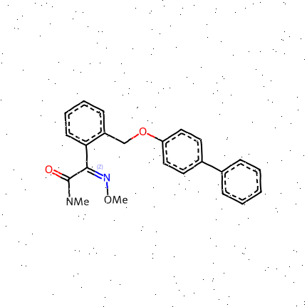 CNC(=O)/C(=N\OC)c1ccccc1COc1ccc(-c2ccccc2)cc1